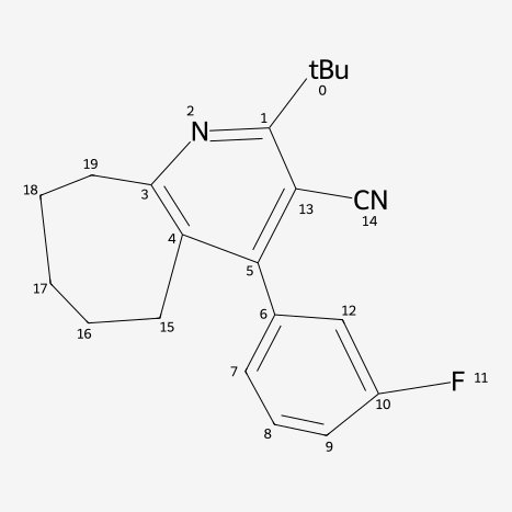 CC(C)(C)c1nc2c(c(-c3cccc(F)c3)c1C#N)CCCCC2